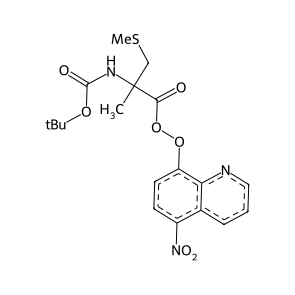 CSCC(C)(NC(=O)OC(C)(C)C)C(=O)OOc1ccc([N+](=O)[O-])c2cccnc12